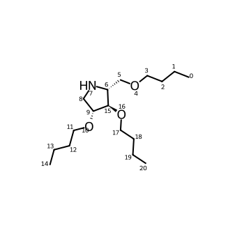 CCCCOC[C@H]1NC[C@@H](OCCCC)[C@@H]1OCCCC